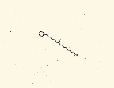 O=C(CCCCCCCCO)CCCCCCc1ccccc1